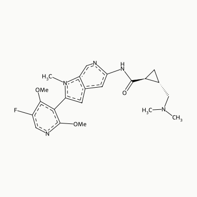 COc1ncc(F)c(OC)c1-c1cc2cc(NC(=O)[C@H]3C[C@@H]3CN(C)C)ncc2n1C